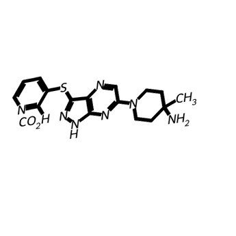 CC1(N)CCN(c2cnc3c(Sc4cccnc4C(=O)O)n[nH]c3n2)CC1